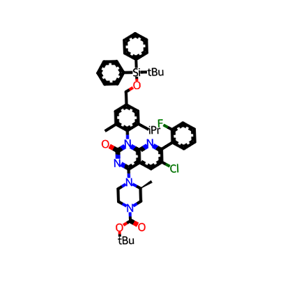 Cc1cc(CO[Si](c2ccccc2)(c2ccccc2)C(C)(C)C)cc(C(C)C)c1-n1c(=O)nc(N2CCN(C(=O)OC(C)(C)C)C[C@@H]2C)c2cc(Cl)c(-c3ccccc3F)nc21